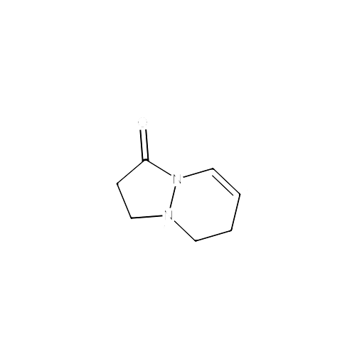 O=C1CCN2CCC=CN12